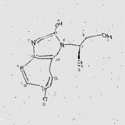 CC[C@H](CO)n1c(O)nc2ncc(Cl)cc21